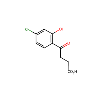 O=C(O)CCC(=O)c1ccc(Cl)cc1O